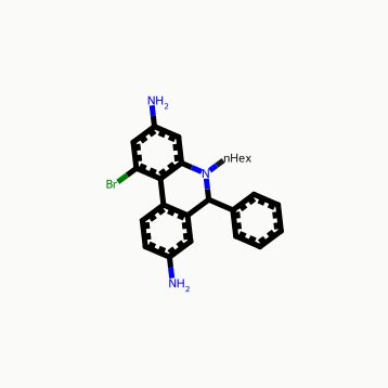 CCCCCCN1c2cc(N)cc(Br)c2-c2ccc(N)cc2C1c1ccccc1